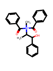 CC(C(O)c1ccccc1)[N+](C)(C(=O)c1ccccc1)C(=O)c1ccccc1